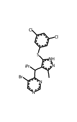 Cc1n[nH]c(Sc2cc(Cl)cc(Cl)c2)c1C(c1ncncc1Br)C(C)C